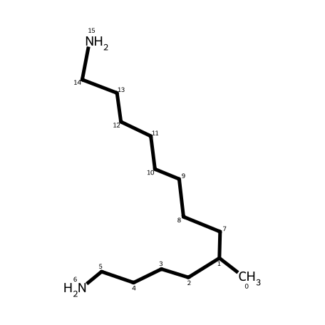 CC(CCCCN)CCCCCCCCN